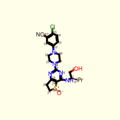 CC(C)[C@H](CO)Nc1nc(N2CCN(c3ccc(Cl)c(C#N)c3)CC2)nc2c1[S+]([O-])CC2